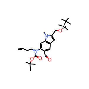 C=CCCN(C(=O)OC(C)(C)C)c1cc2c(cc1C=O)cc(CO[Si](C)(C)C(C)(C)C)n2C